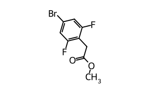 COC(=O)Cc1c(F)cc(Br)cc1F